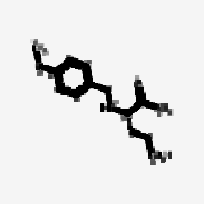 NC(=O)[C@H](CCC(=O)O)NCc1ccc(OC(F)(F)F)cc1